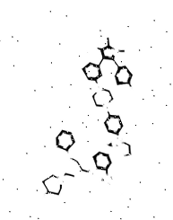 Cc1c(C(=O)O)c(-c2cccc(N3CCN(c4ccc(N5CCO[P@]5(=O)c5ccc(N[C@H](CCN6CCC(O)CC6)CSc6ccccc6)c(S(=O)(=O)C(F)(F)F)c5)cc4)CC3)c2)c(-c2ccc(Cl)cc2)n1C